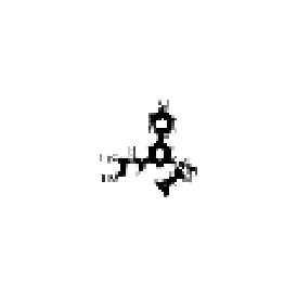 CC(CO)NC(=O)c1cc(-c2ccc(Cl)cn2)cc(-n2nnnc2C2CC2)c1